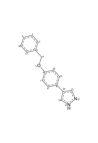 c1ccc(COc2ccc(-c3cn[nH]c3)cc2)cc1